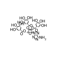 Nc1ncnc2c1ncn2[C@@H]1O[C@H](COC(=O)c2cc(O)c(O)c(O)c2)[C@@H](OC(=O)c2cc(O)c(O)c(O)c2)[C@H]1OC(=O)c1cc(O)c(O)c(O)c1